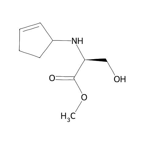 COC(=O)[C@H](CO)NC1C=CCC1